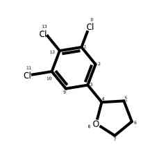 Clc1cc(C2[CH]CCO2)cc(Cl)c1Cl